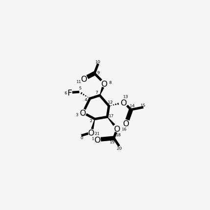 CO[C@H]1O[C@H](CF)[C@@H](OC(C)=O)[C@H](OC(C)=O)[C@H]1OC(C)=O